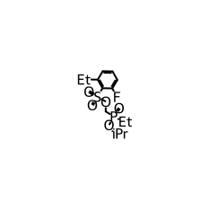 CCc1cccc(F)c1S(=O)(=O)OCP(=O)(CC)OC(C)C